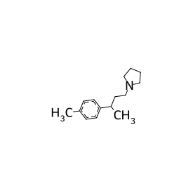 Cc1ccc(C(C)CCN2CCCC2)cc1